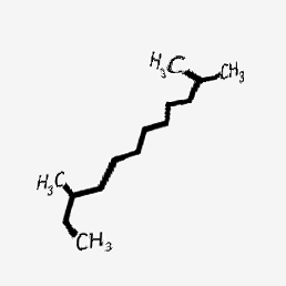 CCC(C)CCCCCCCC(C)C